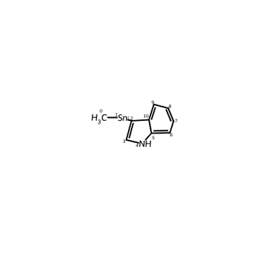 [CH3][Sn][c]1c[nH]c2ccccc12